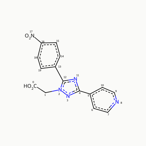 O=C(O)Cn1nc(-c2ccncc2)nc1-c1ccc([N+](=O)[O-])cc1